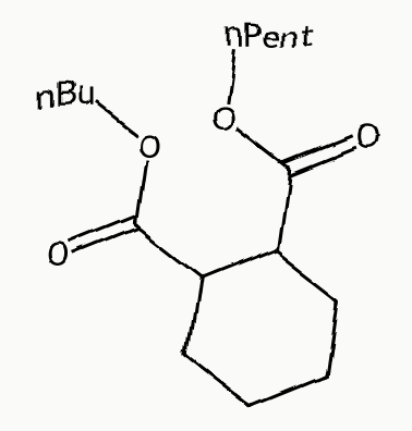 CCCCCOC(=O)C1CCCCC1C(=O)OCCCC